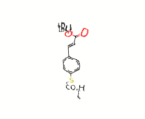 CC(C)(C)OC(=O)C=Cc1ccc(SCC(=O)O)cc1